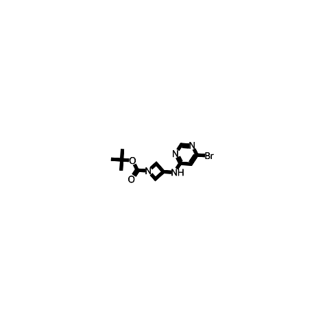 CC(C)(C)OC(=O)N1CC(Nc2cc(Br)ncn2)C1